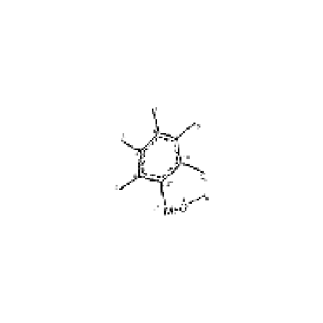 COC.Cc1c(C)c(C)c(C)c(C)c1C